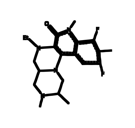 CCN1CC2CN(C)C(C)CN2c2c1c(=O)n(C)c1c(F)c(C)c(F)cc21